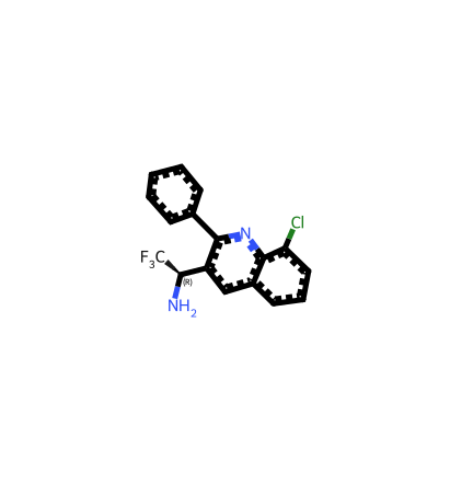 N[C@H](c1cc2cccc(Cl)c2nc1-c1ccccc1)C(F)(F)F